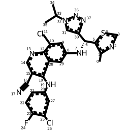 Cc1ncsc1[C@H](Nc1cc(Cl)c2ncc(C#N)c(Nc3ccc(F)c(Cl)c3)c2c1)c1cn(C(C)C)nn1